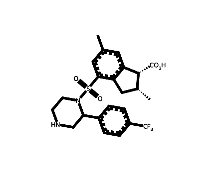 Cc1cc2c(c(S(=O)(=O)N3CCNCC3c3ccc(C(F)(F)F)cc3)c1)C[C@@H](C)[C@H]2C(=O)O